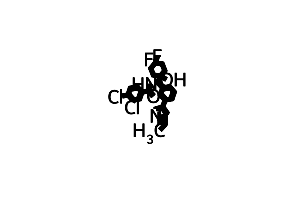 CCn1cc(-c2cccc(C(NC(=O)c3ccc(Cl)c(Cl)c3)C3(O)CCC(F)(F)CC3)c2)cn1